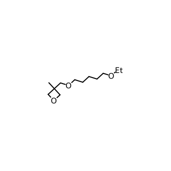 CCOCCCCCOCC1(C)COC1